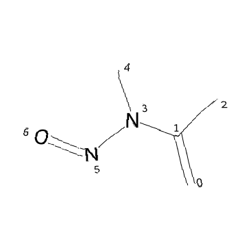 C=C(C)N(C)N=O